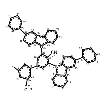 Cc1cc(-c2cc(-n3c4ccccc4c4cc(-c5ccccc5)ccc43)c(C#N)c(-n3c4ccccc4c4cc(-c5ccccc5)ccc43)c2)cc(C(F)(F)F)c1